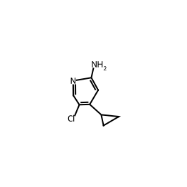 Nc1cc(C2CC2)c(Cl)cn1